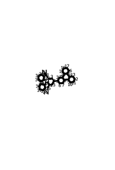 N#CC1=CC(c2ccc3c4ccccc4c4ccccc4c3c2)=CC(C#N)=P1(c1ccccc1)c1ccccc1